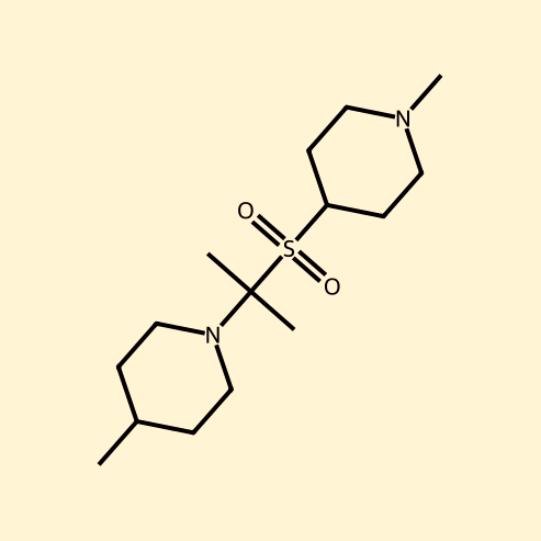 CC1CCN(C(C)(C)S(=O)(=O)C2CCN(C)CC2)CC1